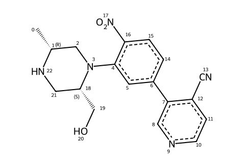 C[C@@H]1CN(c2cc(-c3cnccc3C#N)ccc2[N+](=O)[O-])[C@H](CO)CN1